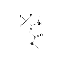 CNC(=O)/C=C(\NC)C(F)(F)F